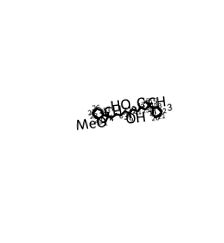 COCC(C)(CCCCC(O)CCCCC(C)(CC(=O)O)c1ccccc1)c1ccccc1